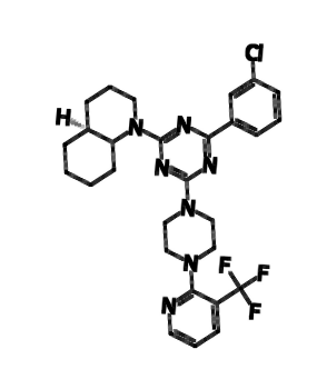 FC(F)(F)c1cccnc1N1CCN(c2nc(-c3cccc(Cl)c3)nc(N3CCC[C@@H]4CCCCC43)n2)CC1